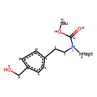 CCCCCCCN(CCc1ccc(CO)cc1)C(=O)OC(C)(C)C